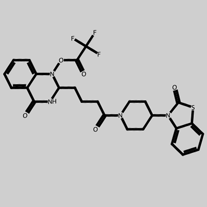 O=C1NC(CCCC(=O)N2CCC(n3c(=O)sc4ccccc43)CC2)N(OC(=O)C(F)(F)F)c2ccccc21